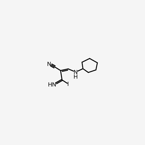 N#C/C(=C/NC1CCCCC1)C(=N)I